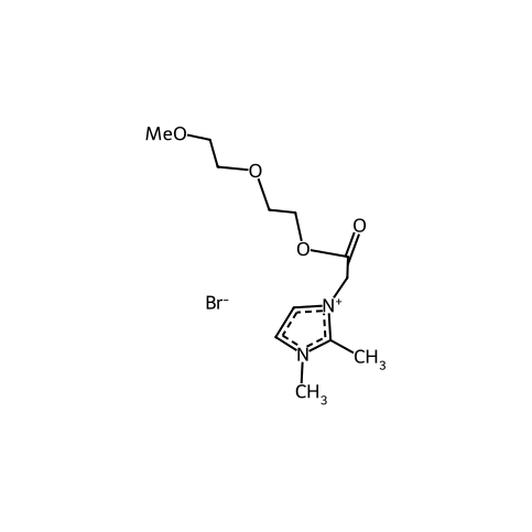 COCCOCCOC(=O)C[n+]1ccn(C)c1C.[Br-]